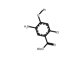 COC(=O)c1cc(N)c(OC(C)C)cc1Cl